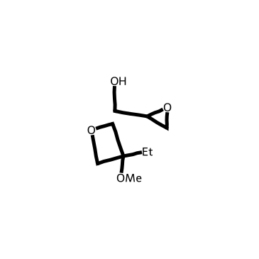 CCC1(OC)COC1.OCC1CO1